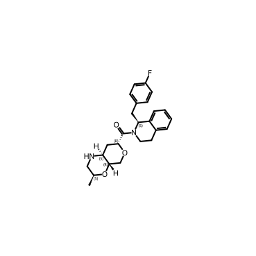 C[C@H]1CN[C@H]2C[C@H](C(=O)N3CCc4ccccc4[C@@H]3Cc3ccc(F)cc3)OC[C@@H]2O1